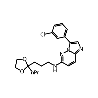 CCCC1(CCCNc2ccc3ncc(-c4cccc(Cl)c4)n3n2)OCCO1